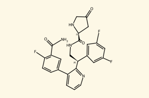 NC(=O)c1cc(-c2cccnc2[C@@H](CNC(=O)[C@@H]2CC(=O)CN2)c2cc(F)cc(F)c2)ccc1F